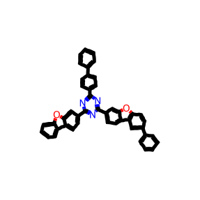 c1ccc(-c2ccc(-c3nc(-c4ccc5c(c4)oc4ccccc45)nc(-c4ccc5c(c4)oc4ccc(-c6ccccc6)cc45)n3)cc2)cc1